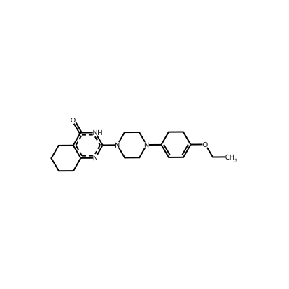 CCOC1=CC=C(N2CCN(c3nc4c(c(=O)[nH]3)CCCC4)CC2)CC1